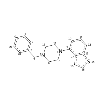 c1ccc(CN2CCN(c3cccc4sccc34)CC2)cc1